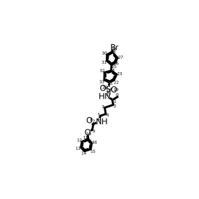 CC(CCCCNC(=O)COc1ccccc1)NS(=O)(=O)c1ccc(-c2ccc(Br)cc2)cc1